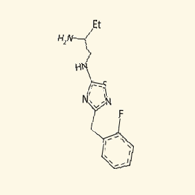 CCC(N)CNc1nc(Cc2ccccc2F)ns1